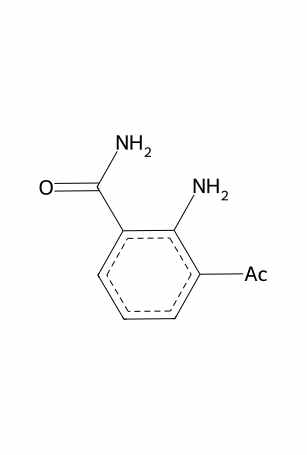 CC(=O)c1cccc(C(N)=O)c1N